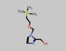 CS(C)(C)CCOCn1ccnc1CO